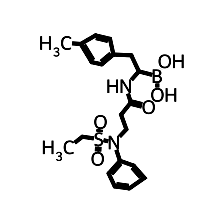 CCS(=O)(=O)N(CCC(=O)NC(Cc1ccc(C)cc1)B(O)O)c1ccccc1